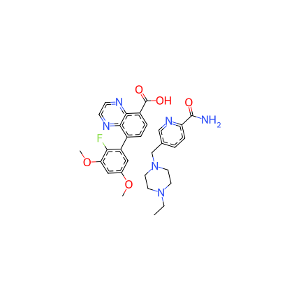 CCN1CCN(Cc2ccc(C(N)=O)nc2)CC1.COc1cc(OC)c(F)c(-c2ccc(C(=O)O)c3nccnc23)c1